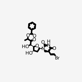 CC(OC(=O)c1ccccc1)C(=O)C(O)[C@H]1O[C@@H](n2cc(/C=C/Br)c(=O)[nH]c2=O)C[C@@H]1O